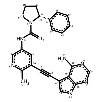 Cc1ncc(NC(=O)N2OCC[C@@H]2c2ccccc2)cc1C#Cc1csc2ncnc(N)c12